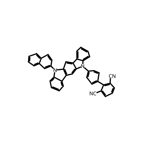 N#Cc1cccc(C#N)c1-c1ccc(-n2c3ccccc3c3cc4c(cc32)c2ccccc2n4-c2ccc3ccccc3c2)cc1